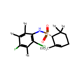 [2H]c1c([2H])c(NS(=O)(=O)[C@H]2C(C(=O)OCC)=CCCC2([2H])[2H])c(Cl)c([2H])c1F